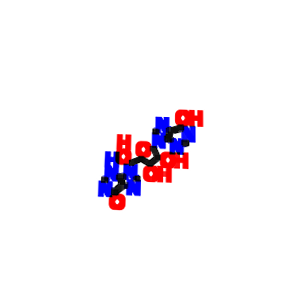 O=c1nc[nH]c2c1ncn2[C@H](O)[C@H]1O[C@@H](n2cnc3c(O)ncnc32)[C@H](O)[C@@H]1O